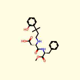 COC(=O)[C@H](Cc1ccccc1)NC(=O)[C@H](CC(=O)O)NCCC(C)(C)c1ccccc1O